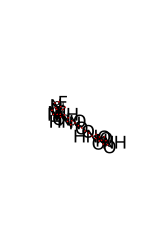 O=C1CCC(N2C(=O)c3ccc(NCCOCCOCCC(=O)N4CCC(Nc5cccc(C(=O)Nc6cnn7ccc(N8CCC[C@@H]8c8cc(F)ccc8F)nc67)n5)CC4)cc3C2=O)C(=O)N1